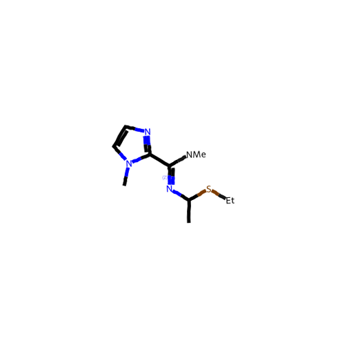 CCSC(C)/N=C(\NC)c1nccn1C